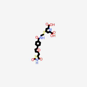 O=C1NC(=O)C(=Cc2ccc(-c3ccc(C(=O)NCCSc4cc(C(=O)O)nc(C(=O)O)c4)cc3)o2)S1